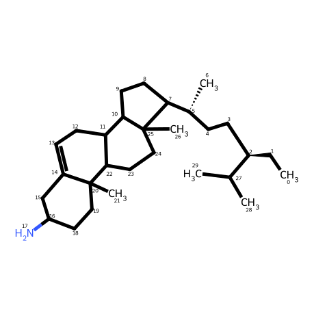 CC[C@H](CC[C@@H](C)C1CCC2C3CC=C4CC(N)CCC4(C)C3CCC21C)C(C)C